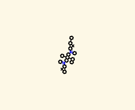 CC1(C)c2ccccc2-c2ccc(N(c3ccccc3)c3ccc4c(-c5cccc6ccccc56)c5cc(N(c6ccccc6)c6ccc7c(c6)C(C)(C)c6cc(-c8ccccc8)ccc6-7)ccc5c(-c5ccccc5)c4c3)cc21